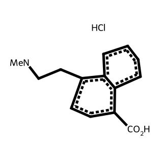 CNCCc1ccc(C(=O)O)c2ccccc12.Cl